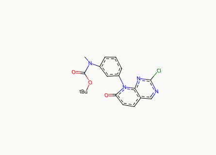 CN(C(=O)OC(C)(C)C)c1cccc(-n2c(=O)ccc3cnc(Cl)nc32)c1